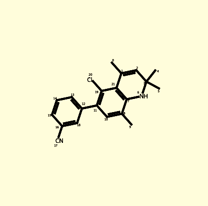 CC1=CC(C)(C)Nc2c(C)cc(-c3cccc(C#N)c3)c(Cl)c21